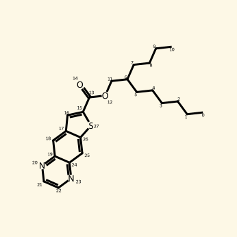 CCCCCCC(CCCC)COC(=O)c1cc2cc3nccnc3cc2s1